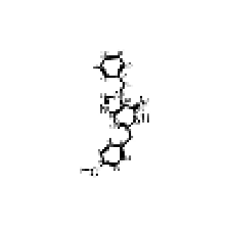 COc1ccc(Cc2nc3ncn(Cc4ccccc4)c3c(=O)[nH]2)cc1